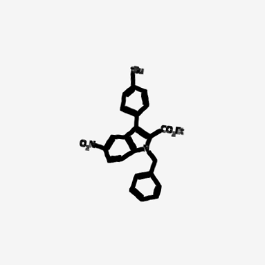 CCOC(=O)c1c(-c2ccc(C(C)(C)C)cc2)c2cc([N+](=O)[O-])ccc2n1Cc1ccccc1